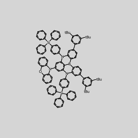 CC(C)(C)c1cc(-c2ccc3c(c2)N(c2ccc([Si](c4ccccc4)(c4ccccc4)c4ccccc4)cc2)c2cc(N4c5ccccc5Oc5ccccc54)cc4c2B3c2ccc(-c3cc(C(C)(C)C)cc(C(C)(C)C)c3)cc2N4c2ccc([Si](c3ccccc3)(c3ccccc3)c3ccccc3)cc2)cc(C(C)(C)C)c1